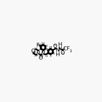 O=C(NNC(=O)C(F)(F)F)c1ccc(CN(C(=O)N2CCOCC2)c2cccc(F)c2)cc1